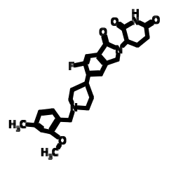 COc1cc(C)ccc1CN1CCC(c2cc3c(cc2F)C(=O)N(C2CCC(=O)NC2=O)C3)CC1